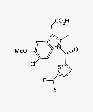 COc1cc2c(CC(=O)O)c(C)n(C(=O)c3ccc(C(F)F)s3)c2cc1Cl